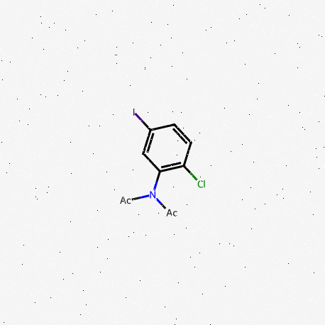 CC(=O)N(C(C)=O)c1cc(I)ccc1Cl